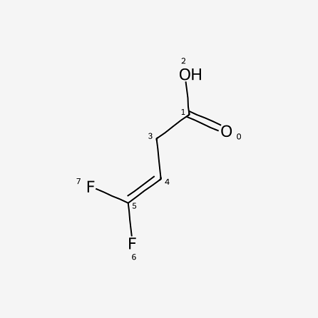 O=C(O)CC=C(F)F